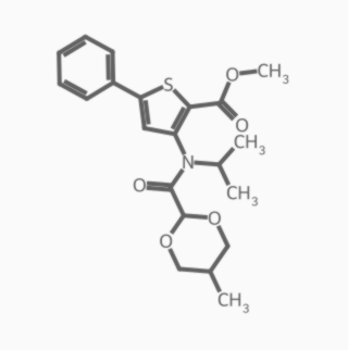 COC(=O)c1sc(-c2ccccc2)cc1N(C(=O)C1OCC(C)CO1)C(C)C